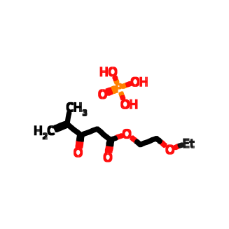 C=C(C)C(=O)CC(=O)OCCOCC.O=P(O)(O)O